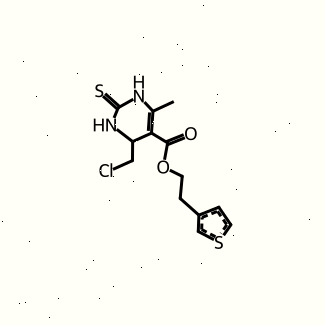 CC1=C(C(=O)OCCc2ccsc2)C(CCl)NC(=S)N1